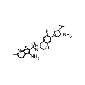 CO[C@@H]1CN(c2cc3c(cc2F)C[C@@H](NC(=O)c2sc4nc(C)ccc4c2N)CO3)C[C@H]1N